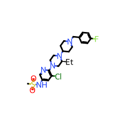 CC[C@H]1CN(c2ncc(NS(C)(=O)=O)cc2Cl)CCN1C1CCN(Cc2ccc(F)cc2)CC1